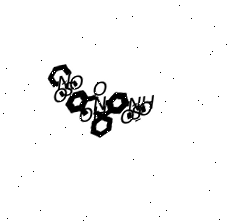 CS(=O)(=O)Nc1ccc2c(c1)C1(CCCCC1)CN2C(=O)c1cc(S(=O)(=O)N2CCCCC2)ccc1O